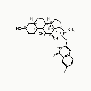 C[C@H](CCc1nc2ccc(F)cc2c(=O)[nH]1)[C@H]1CC[C@H]2[C@@H]3CC[C@@H]4C[C@H](O)CC[C@]4(C)C3C[C@H](O)[C@]12C